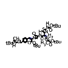 C[SiH](COCc1ccc(/C=C(\C(=O)OC(C)(C)C)N2C[C@H](NC(=O)/C(=N\OC(C)(C)C(=O)OC(C)(C)C)c3csc(NC(=O)OC(C)(C)C)n3)C2=O)cc1)C(C)(C)C